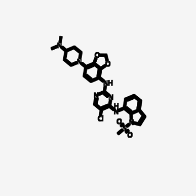 CN(C)C1CCN(c2ccc(Nc3ncc(Cl)c(Nc4cccc5ccn(S(C)(=O)=O)c45)n3)c3c2OCO3)CC1